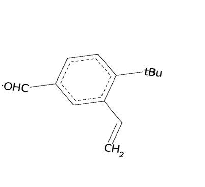 C=Cc1cc([C]=O)ccc1C(C)(C)C